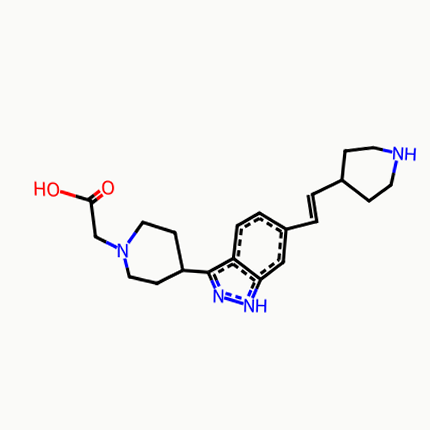 O=C(O)CN1CCC(c2n[nH]c3cc(/C=C/C4CCNCC4)ccc23)CC1